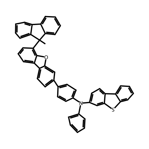 CC1(c2cccc3c2oc2cc(-c4ccc(N(c5ccccc5)c5ccc6c(c5)sc5ccccc56)cc4)ccc23)c2ccccc2-c2ccccc21